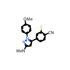 CNc1cc(-c2ccc(C#N)c(F)c2)n(-c2ccc(OC)cc2)n1